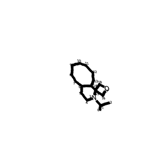 CC(C)N1CCC2CCCCCCCC2C12COC2